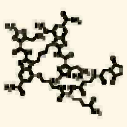 CCc1nc(C)oc1C(=O)Nc1nc2cc(C(N)=O)cc(OC)c2n1C/C=C/Cn1c(NC(=O)c2oc(C)nc2CC)nc2cc(C(N)=O)cc(OCCCNC(=O)[C@@H](CCCC(N)=O)NC(=O)[C@H](N)CNC(=O)CN3C(=O)C=CC3=O)c21